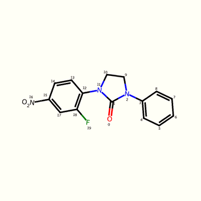 O=C1N(c2ccccc2)CCN1c1ccc([N+](=O)[O-])cc1F